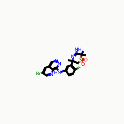 CC1(c2cc(Nc3nncc4cc(Br)cnc34)ccc2F)CS(=O)(=O)C(C)(C)C(N)=N1